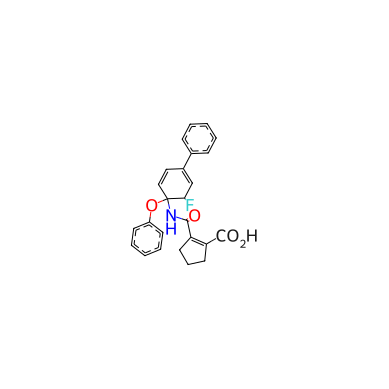 O=C(O)C1=C(C(=O)NC2(Oc3ccccc3)C=CC(c3ccccc3)=CC2F)CCC1